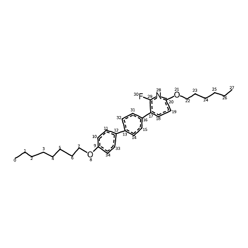 CCCCCCCCOc1ccc(-c2ccc(-c3ccc(OCCCCCC)nc3F)cc2)cc1